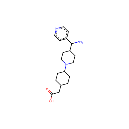 NC(c1ccncc1)C1CCN(C2CCC(CC(=O)O)CC2)CC1